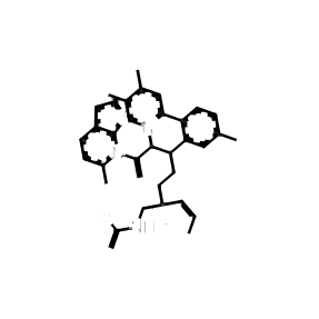 C=C(O)NC[C@](C)(/C=C\C)CCC1c2cc(C)ccc2-c2cc(C)c(C)c[n+]2C1C(=C)[n+]1c(C)ccc2ccsc21